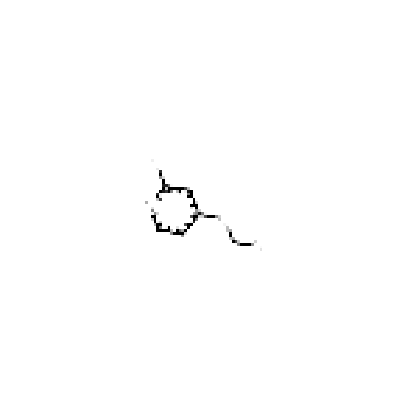 Cc1cc(OCN)ccn1